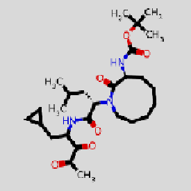 CC(=O)C(=O)C(CC1CC1)NC(=O)[C@H](CC(C)C)N1CCCCCC[C@H](NC(=O)OC(C)(C)C)C1=O